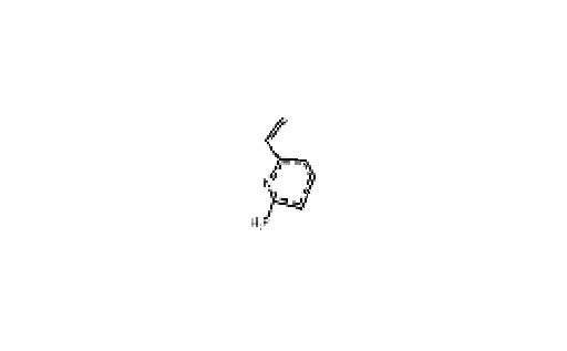 C=Cc1cccc(P)n1